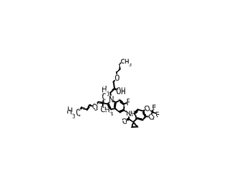 CCCCOCC(O)Cn1c(C(C)(C)COCCCC)cc2cc(NC(=O)C3(c4ccc5c(c4)OC(F)(F)O5)CC3)c(F)cc21